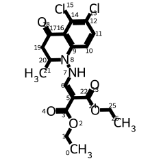 CCOC(=O)C(=CNN1c2ccc(Cl)c(Cl)c2C(=O)CC1C)C(=O)OCC